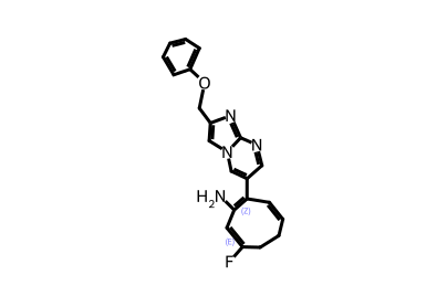 NC1=C(\c2cnc3nc(COc4ccccc4)cn3c2)C=CCC/C(F)=C\1